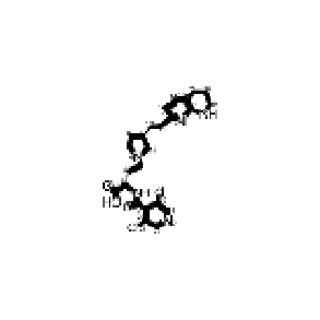 O=C(N[C@@H](CCN1CC[C@@H](CCc2ccc3c(n2)NCCC3)C1)C(=O)O)c1c(Cl)cncc1Cl